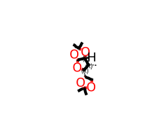 C[C@@H]1[C@H](C2COC(C)(C)O2)OC2OC(C)(C)O[C@@H]21